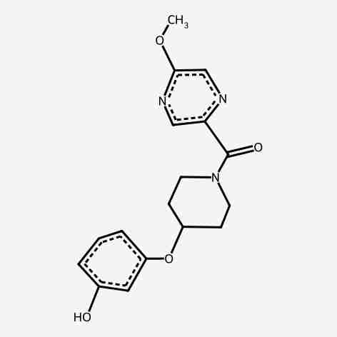 COc1cnc(C(=O)N2CCC(Oc3cccc(O)c3)CC2)cn1